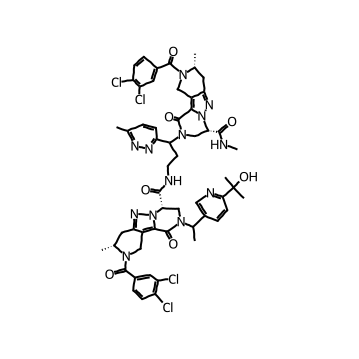 CNC(=O)[C@@H]1CN(C(CCNC(=O)[C@@H]2CN(C(C)c3ccc(C(C)(C)O)nc3)C(=O)c3c4c(nn32)C[C@@H](C)N(C(=O)c2ccc(Cl)c(Cl)c2)C4)c2ccc(C)nn2)C(=O)c2c3c(nn21)C[C@@H](C)N(C(=O)c1ccc(Cl)c(Cl)c1)C3